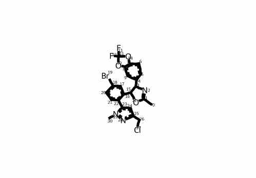 CC1=NC(c2ccc3c(c2)OC(F)(F)O3)C(c2cc(Br)ccc2-c2cc(CCl)nn2C)O1